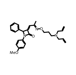 C=CCN(CC=C)CCCON=C(C)C=C1C(=O)N(c2ccc(OC)cc2)C1c1ccccc1